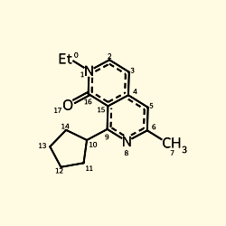 CCn1ccc2cc(C)nc(C3CCCC3)c2c1=O